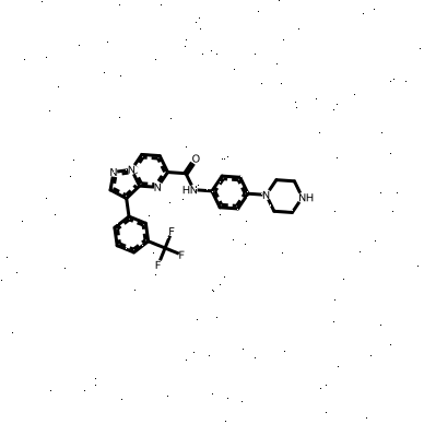 O=C(Nc1ccc(N2CCNCC2)cc1)c1ccn2ncc(-c3cccc(C(F)(F)F)c3)c2n1